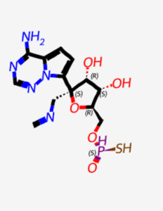 C=NC[C@@]1(c2ccc3c(N)ncnn23)O[C@H](CO[P@H](=O)S)[C@@H](O)[C@H]1O